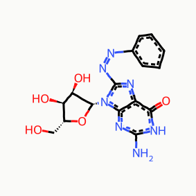 Nc1nc2c(nc(/N=N\c3ccccc3)n2[C@@H]2O[C@H](CO)[C@@H](O)[C@H]2O)c(=O)[nH]1